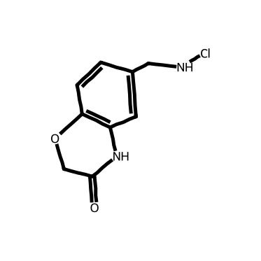 O=C1COc2ccc(CNCl)cc2N1